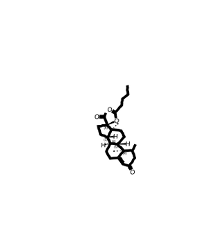 CCCCC(=O)O[C@]1(C(C)=O)CC[C@H]2[C@@H]3CCC4=CC(=O)CC(C)[C@]4(C)[C@H]3CC[C@@]21C